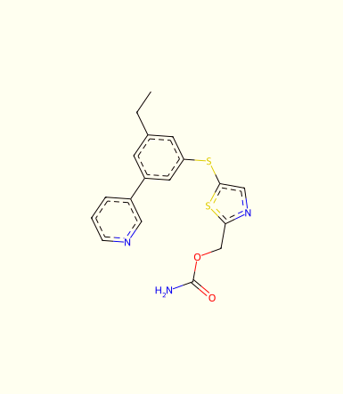 CCc1cc(Sc2cnc(COC(N)=O)s2)cc(-c2cccnc2)c1